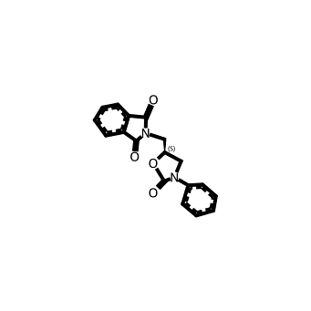 O=C1c2ccccc2C(=O)N1C[C@H]1CN(c2ccccc2)C(=O)O1